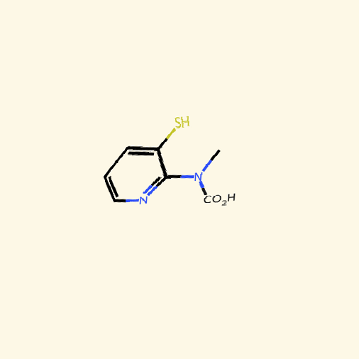 CN(C(=O)O)c1ncccc1S